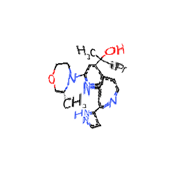 CC(C)C(C)(O)c1cc(N2CCOC[C@H]2C)nc2c(-c3ccn[nH]3)nccc12